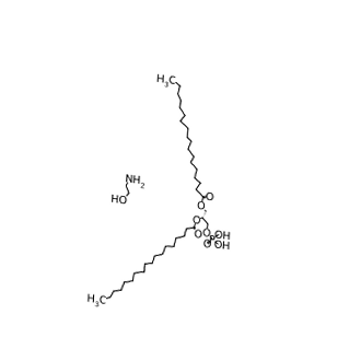 CCCCCCCCCCCCCCCCCC(=O)OC[C@H](COP(=O)(O)O)OC(=O)CCCCCCCCCCCCCCCCC.NCCO